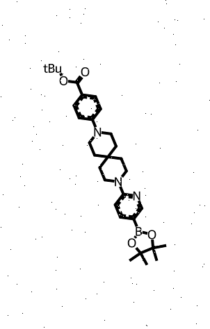 CC(C)(C)OC(=O)c1ccc(N2CCC3(CC2)CCN(c2ccc(B4OC(C)(C)C(C)(C)O4)cn2)CC3)cc1